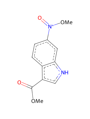 COC(=O)c1c[nH]c2cc([N+](=O)OC)ccc12